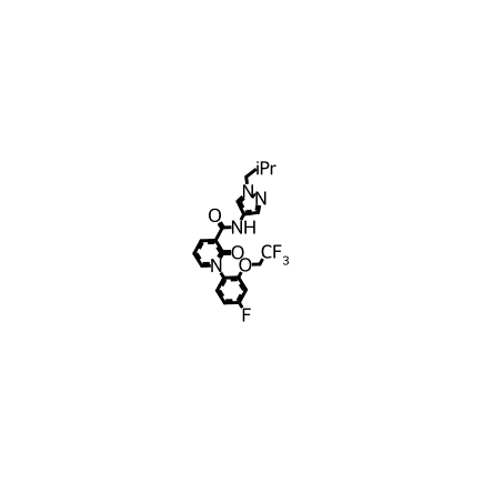 CC(C)Cn1cc(NC(=O)c2cccn(-c3ccc(F)cc3OCC(F)(F)F)c2=O)cn1